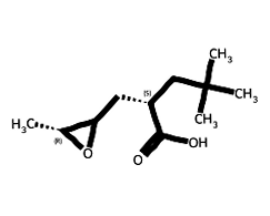 C[C@H]1OC1C[C@H](CC(C)(C)C)C(=O)O